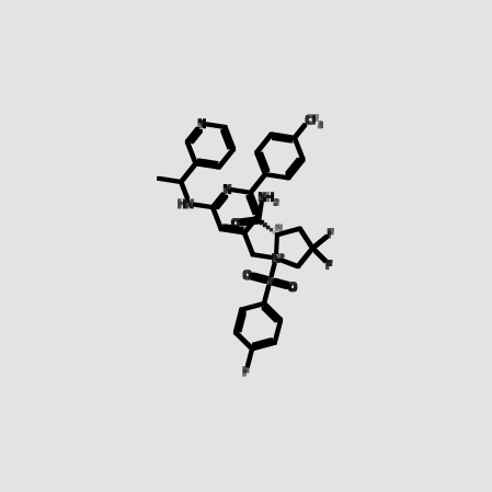 CC(Nc1cc(C[N+]2(S(=O)(=O)c3ccc(F)cc3)CC(F)(F)C[C@H]2C(N)=O)cc(-c2ccc(C(F)(F)F)cc2)n1)c1cccnc1